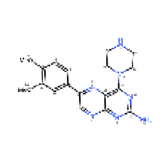 COc1ccc(-c2cnc3nc(N)nc(N4CCNCC4)c3n2)cc1OC